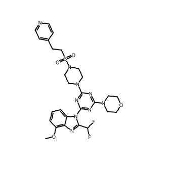 COc1cccc2c1nc(C(F)F)n2-c1nc(N2CCOCC2)nc(N2CCN(S(=O)(=O)CCc3ccncc3)CC2)n1